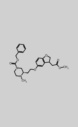 COC(=O)CC1COc2ccc(OCC[C@@H]3CN(C(=O)OCc4ccccc4)CCN3C)cc21